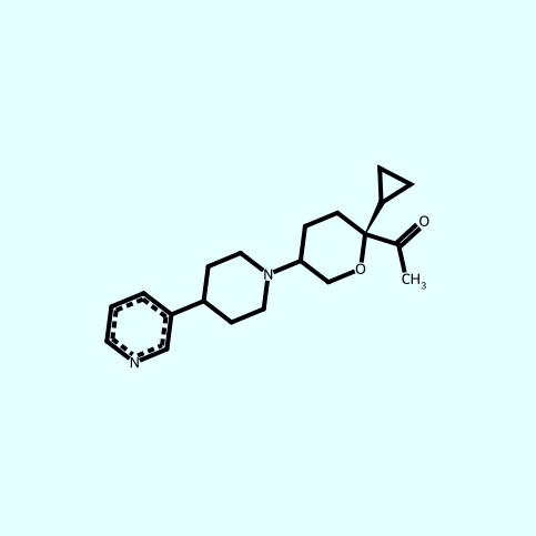 CC(=O)[C@@]1(C2CC2)CCC(N2CCC(c3cccnc3)CC2)CO1